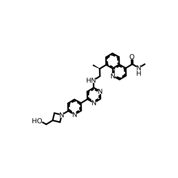 CNC(=O)c1ccnc2c([C@H](C)CNc3cc(-c4ccc(N5CC(CO)C5)nc4)ncn3)cccc12